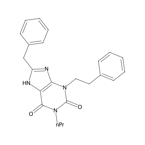 CCCn1c(=O)c2[nH]c(Cc3ccccc3)nc2n(CCc2ccccc2)c1=O